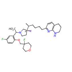 CC(CCCCc1ccc2c(n1)NCCC2)[C@]1(I)CCN(C(C(=O)O)c2cc(F)ccc2OCC2(F)CCOCC2)C1